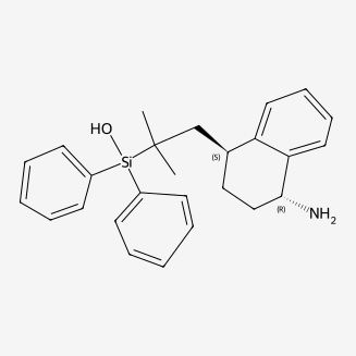 CC(C)(C[C@@H]1CC[C@@H](N)c2ccccc21)[Si](O)(c1ccccc1)c1ccccc1